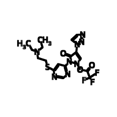 CCN(CC)CCSc1cc(-n2c(=O)c(-n3ccnn3)cn2OC(=O)C(F)(F)F)ncn1